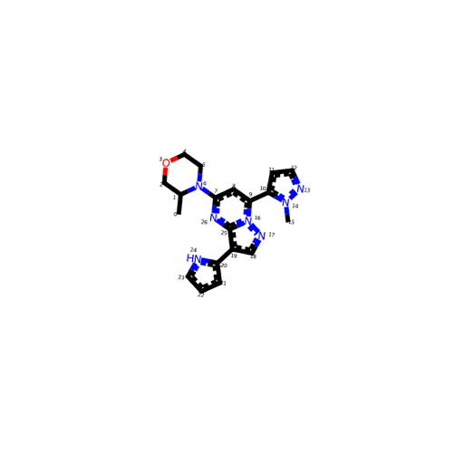 CC1COCCN1c1cc(-c2ccnn2C)n2ncc(-c3ccc[nH]3)c2n1